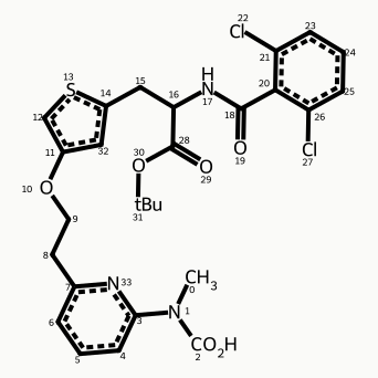 CN(C(=O)O)c1cccc(CCOc2csc(CC(NC(=O)c3c(Cl)cccc3Cl)C(=O)OC(C)(C)C)c2)n1